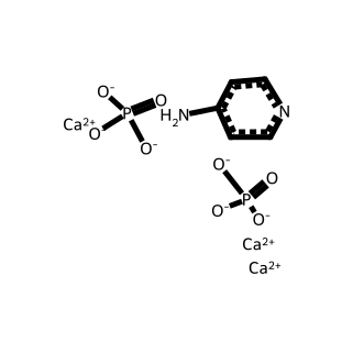 Nc1ccncc1.O=P([O-])([O-])[O-].O=P([O-])([O-])[O-].[Ca+2].[Ca+2].[Ca+2]